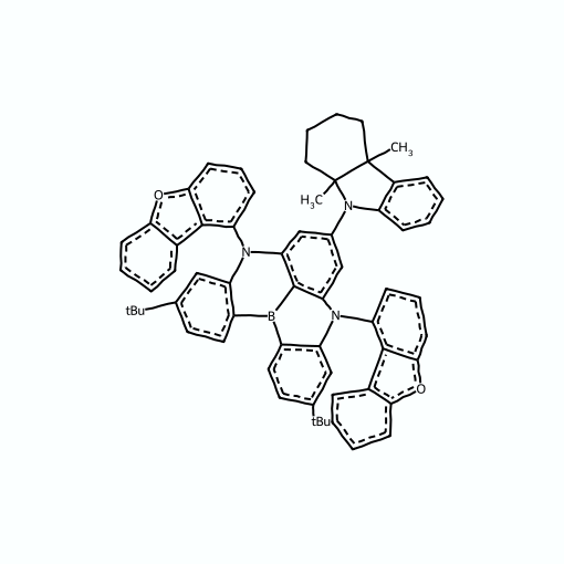 CC(C)(C)c1ccc2c(c1)N(c1cccc3oc4ccccc4c13)c1cc(N3c4ccccc4C4(C)CCCCC34C)cc3c1B2c1ccc(C(C)(C)C)cc1N3c1cccc2oc3ccccc3c12